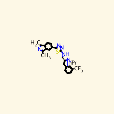 C=C1N=C(C)c2cc(-c3nnc(NC[C@H](Cc4cccc(C(F)(F)F)c4)NC(C)C)s3)ccc21